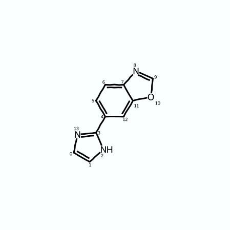 c1c[nH]c(-c2ccc3ncoc3c2)n1